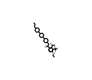 CCCC1CCC(C2CCC(C3CCC(CC(=O)c4ccc(OCC)c(C(F)(F)F)c4C(F)F)CC3)CC2)CC1